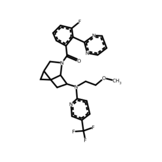 COCCN(c1ccc(C(F)(F)F)cn1)C1CC23CC2CN(C(=O)c2cccc(F)c2-c2ncccn2)C13